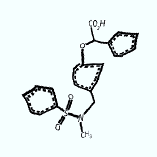 CN(Cc1ccc(OC(C(=O)O)c2ccccc2)cc1)S(=O)(=O)c1ccccc1